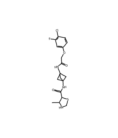 CC1NCSC1C(=O)NC12CC(NC(=O)COc3ccc(Cl)c(F)c3)(C1)C2